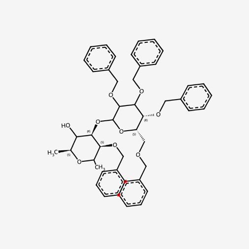 CC1O[C@@H](C)C(O)[C@@H](OC2O[C@@H](COCc3ccccc3)[C@@H](OCc3ccccc3)C(OCc3ccccc3)C2OCc2ccccc2)[C@H]1OCc1ccccc1